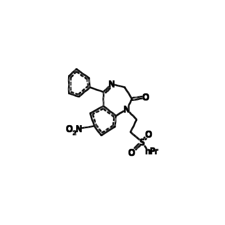 CCCS(=O)(=O)CCN1C(=O)CN=C(c2ccccc2)c2cc([N+](=O)[O-])ccc21